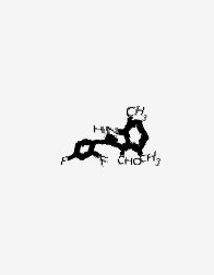 Cc1ccc(C)c2c(C=O)c(-c3ccc(F)cc3F)[nH]c12